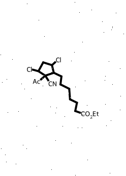 CCOC(=O)CCCCCCC1C(Cl)CC(Cl)C1(C#N)C(C)=O